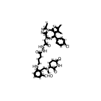 Cc1sc2c(c1C)C(c1ccc(Cl)cc1)=N[C@@H](CC(=O)NNC(=O)CCCNc1cccc(C=O)c1CN(C)C1CCC(=O)NC1=O)c1nnc(C)n1-2